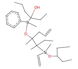 C=CCC(C)(O[Si](C)(c1ccccc1)C(O)(CC)CCC)C(C)(CC)[Si](C)(C=C)OC(CC)CC